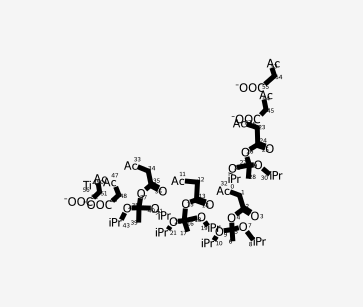 CC(=O)CC(=O)OC(C)(OC(C)C)OC(C)C.CC(=O)CC(=O)OC(C)(OC(C)C)OC(C)C.CC(=O)CC(=O)OC(C)(OC(C)C)OC(C)C.CC(=O)CC(=O)OC(C)(OC(C)C)OC(C)C.CC(=O)CC(=O)[O-].CC(=O)CC(=O)[O-].CC(=O)CC(=O)[O-].CC(=O)CC(=O)[O-].[Ti+4]